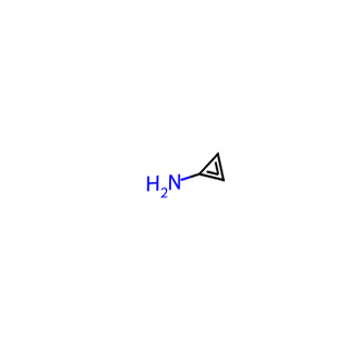 NC1=C=C1